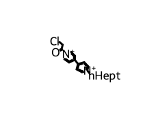 CCCCCCC[n+]1ccc(-c2cc[n+](C(=O)CCl)cc2)cc1